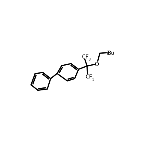 CCC(C)COC(c1ccc(-c2ccccc2)cc1)(C(F)(F)F)C(F)(F)F